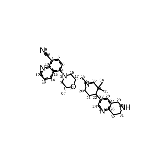 C[C@@H]1CN(c2ccc(C#N)c3ncccc23)C[C@H](CN2CCC(c3cnc4c(c3)CNCC4)C(C)(C)C2)O1